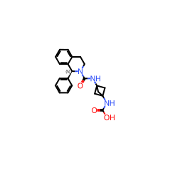 O=C(O)NC12CC(NC(=O)N3CCc4ccccc4[C@@H]3c3ccccc3)(C1)C2